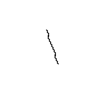 CCCCC#CCCCCCCCCCCCCC#CCCCCCC